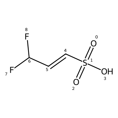 O=S(=O)(O)C=CC(F)F